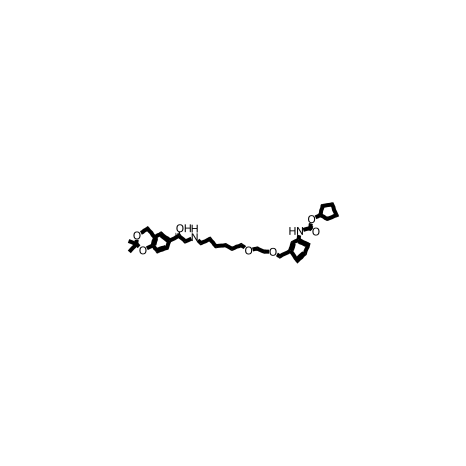 CC1(C)OCc2cc([C@H](O)CNCCCCCCOCCOCc3cccc(NC(=O)OC4CCCC4)c3)ccc2O1